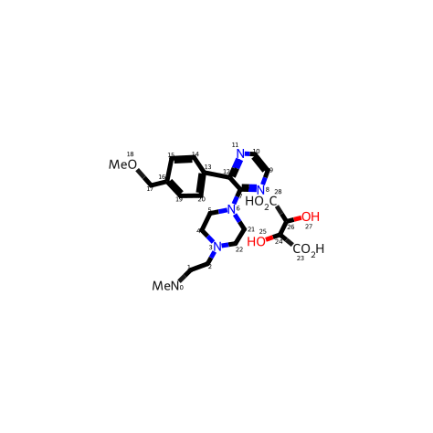 CNCCN1CCN(c2nccnc2-c2ccc(COC)cc2)CC1.O=C(O)C(O)C(O)C(=O)O